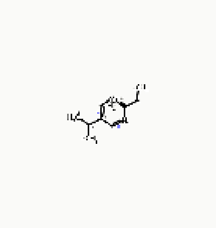 C=C(CC)/N=C\C(=C/C)C(C)C